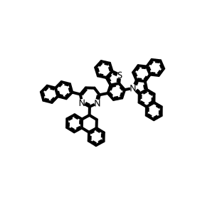 C1=C(c2ccc3ccccc3c2)N=C(C2Cc3ccccc3-c3ccccc32)N=C(c2ccc(-n3c4cc5ccccc5cc4c4c5ccccc5ccc43)c3sc4ccccc4c23)C1